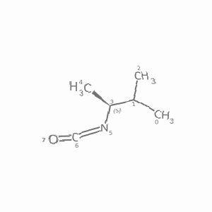 CC(C)[C@H](C)N=C=O